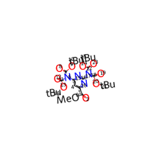 COC(=O)c1cc(N(C(=O)OC(C)(C)C)C(=O)OC(C)(C)C)nc(N(C(=O)OC(C)(C)C)C(=O)OC(C)(C)C)n1